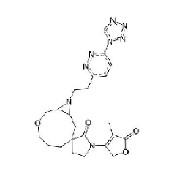 CC1=C(N2CCC3(CCCOCC4C(C3)N4CCc3ccc(-n4cnnn4)nn3)C2=O)COC1=O